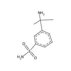 CC(C)(N)c1cccc(S(N)(=O)=O)c1